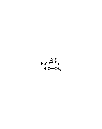 [CH2-]C.[CH2-]C.[Zn+2]